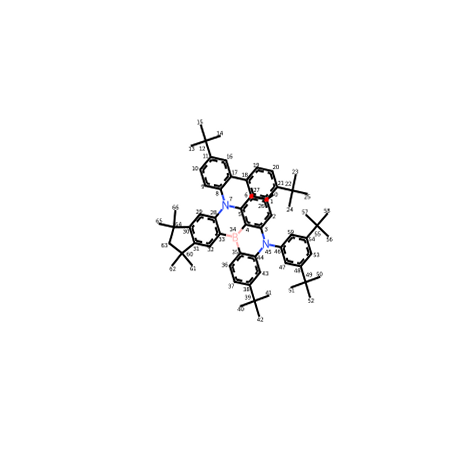 Cc1cc2c3c(c1)N(c1ccc(C(C)(C)C)cc1-c1ccc(C(C)(C)C)cc1)c1cc4c(cc1B3c1ccc(C(C)(C)C)cc1N2c1cc(C(C)(C)C)cc(C(C)(C)C)c1)C(C)(C)CC4(C)C